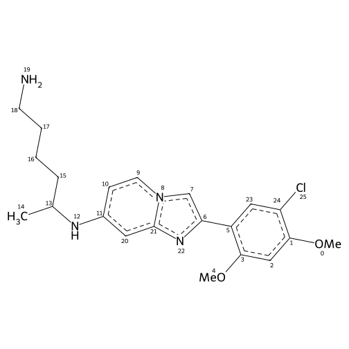 COc1cc(OC)c(-c2cn3ccc(NC(C)CCCCN)cc3n2)cc1Cl